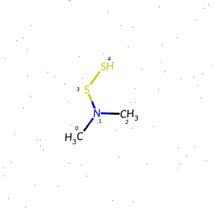 CN(C)SS